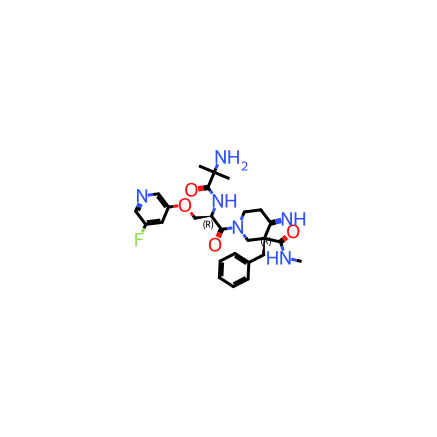 CNC(=O)[C@]1(Cc2ccccc2)CN(C(=O)[C@@H](COc2cncc(F)c2)NC(=O)C(C)(C)N)CCC1=N